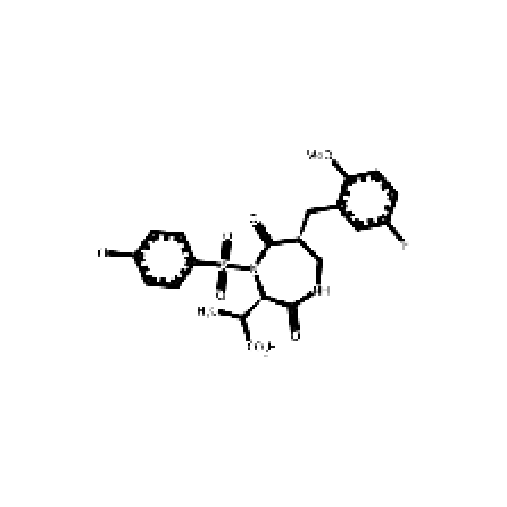 COc1ccc(F)cc1C[C@H]1CNC(=O)[C@@H](C(C)C(=O)O)N(S(=O)(=O)c2ccc(Cl)cc2)C1=O